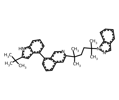 CC(C)(C)c1cc2c(-c3cccc4cc(C(C)(C)CCC(C)(C)n5ncc6ccccc65)ncc34)cccc2[nH]1